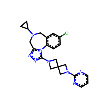 Clc1ccc2c(c1)CN(C1CC1)Cc1nnc(N3CC4(CN(c5ncccn5)C4)C3)n1-2